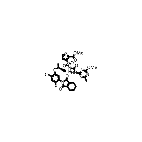 C#CC(C)Oc1cc(N2C(=O)C3=C(CCCC3)C2=O)c(F)cc1Cl.COC(=O)c1sccc1S(=O)(=O)NC(=O)Nc1nc(C)nc(OC)n1